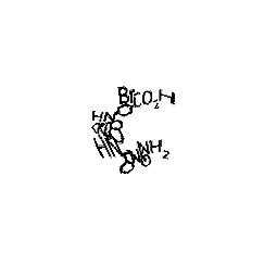 NC(=O)n1cc(NC(=O)N2CCC[C@H]2C(=O)Nc2ccc(C(=O)O)c(Br)c2)c2ccccc21